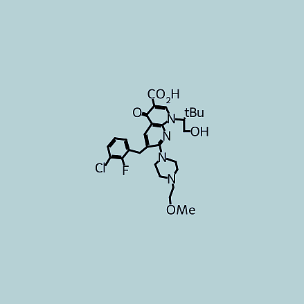 COCCN1CCN(c2nc3c(cc2Cc2cccc(Cl)c2F)c(=O)c(C(=O)O)cn3[C@H](CO)C(C)(C)C)CC1